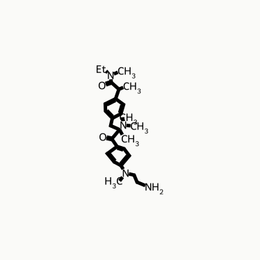 CCN(C)C(=O)C(C)c1ccc(CC(C)(C(=O)c2ccc(N(C)CCN)cc2)N(C)C)cc1